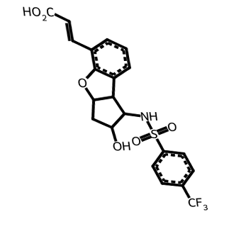 O=C(O)/C=C/c1cccc2c1OC1CC(O)C(NS(=O)(=O)c3ccc(C(F)(F)F)cc3)C21